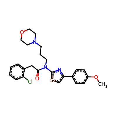 COc1ccc(-c2csc(N(CCCN3CCOCC3)C(=O)Cc3ccccc3Cl)n2)cc1